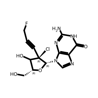 Nc1nc2c(ncn2[C@@H]2O[C@H](CO)C(O)[C@]2(Cl)C#CCF)c(=O)[nH]1